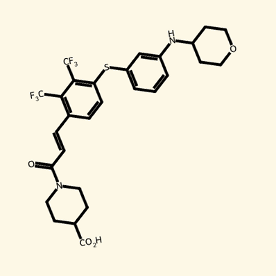 O=C(O)C1CCN(C(=O)C=Cc2ccc(Sc3cccc(NC4CCOCC4)c3)c(C(F)(F)F)c2C(F)(F)F)CC1